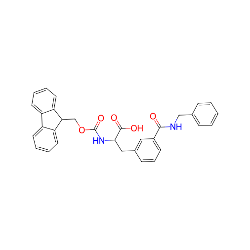 O=C(NC(Cc1cccc(C(=O)NCc2ccccc2)c1)C(=O)O)OCC1c2ccccc2-c2ccccc21